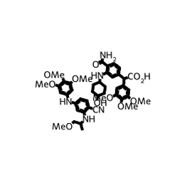 COCC(C)Nc1cc(Nc2cc(OC)c(OC)c(OC)c2)ccc1C#N.COc1cc(C(C(=O)O)c2ccc(C(N)=O)c(NC3CCC(O)CC3)c2)cc(OC)c1OC